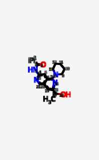 CC(C)C(=O)Nc1cc2c(N3CCCCC3)nc([C@@H](C)O)cc2cn1